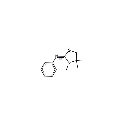 CN1/C(=N\c2ccccc2)SCC1(C)C